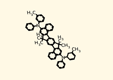 CC1=CC=CC(N(c2ccccc2)c2cc3c(c4ccccc24)-c2cc4c(cc2C3(C)C)-c2c(cc(N(c3ccccc3)c3cccc(C)c3)c3ccccc23)C4(C)C)C1